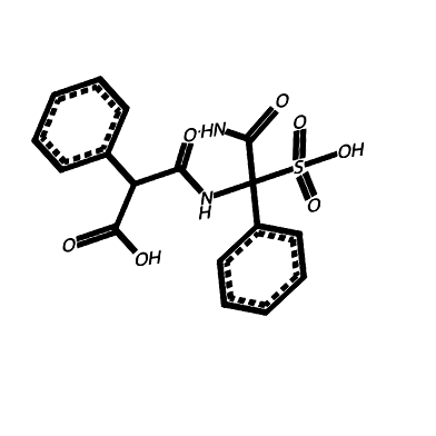 [NH]C(=O)C(NC(=O)C(C(=O)O)c1ccccc1)(c1ccccc1)S(=O)(=O)O